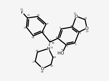 Oc1cc2c(cc1[C@@H](c1ccc(F)cc1)N1CCOCC1)OCO2